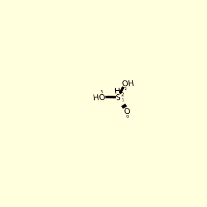 O=[SH2](O)O